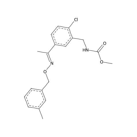 COC(=O)NCc1cc(C(C)=NOCc2cccc(C)c2)ccc1Cl